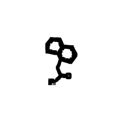 CC(C)C(=O)Cc1cccc2ccccc12